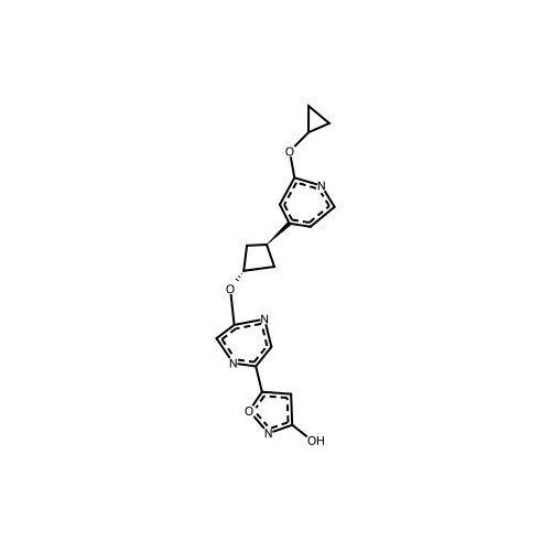 Oc1cc(-c2cnc(O[C@H]3C[C@H](c4ccnc(OC5CC5)c4)C3)cn2)on1